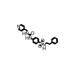 O=C(NCc1ccncc1)Nc1ccc(S(=O)(=O)NCCc2ccccc2)cc1